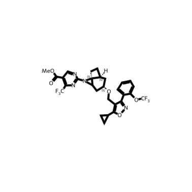 COC(=O)c1cnc(N2C3C[C@@H](OCc4c(-c5ccccc5OC(F)(F)F)noc4C4CC4)C[C@@H]4CC[C@@]342)nc1C(F)(F)F